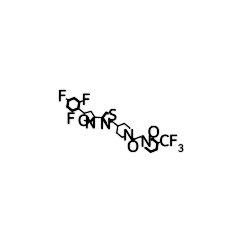 O=C(Cn1cccc(C(F)(F)F)c1=O)N1CCC(c2nc(C3=NOC(c4c(F)cc(F)cc4F)C3)cs2)CC1